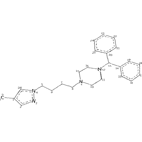 Cc1cnn(CCCCN2CCN(C(c3ccccc3)c3ccccc3)CC2)c1